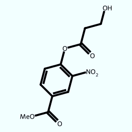 COC(=O)c1ccc(OC(=O)CCO)c([N+](=O)[O-])c1